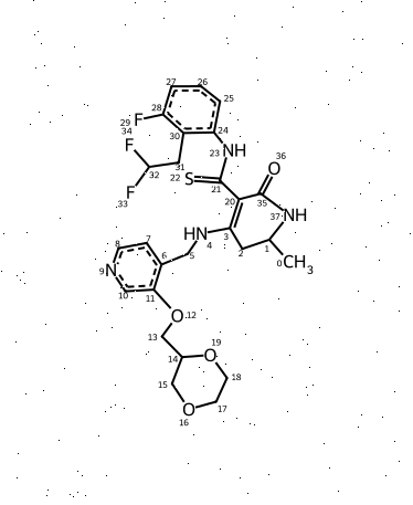 CC1CC(NCc2ccncc2OCC2COCCO2)=C(C(=S)Nc2cccc(F)c2CC(F)F)C(=O)N1